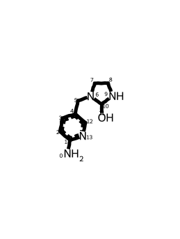 Nc1ccc(CN2CCNC2O)cn1